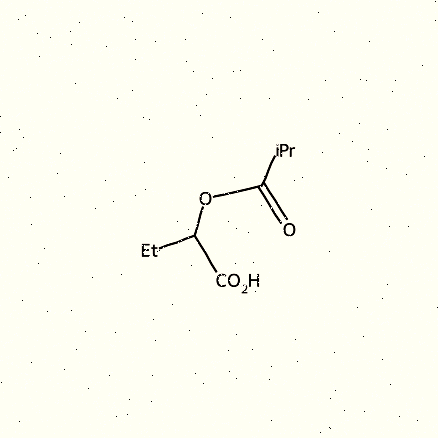 CCC(OC(=O)C(C)C)C(=O)O